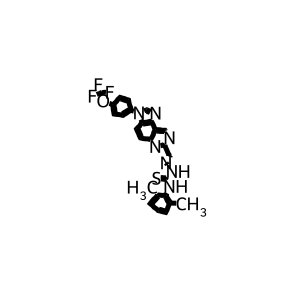 Cc1cccc(C)c1NC(=S)NN=Cc1ncc2c(ccc3c2ncn3-c2ccc(OC(F)(F)F)cc2)n1